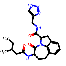 CCC(C)CC(=O)NC1CCc2cccc3c2N(C1=O)C(C(=O)NCc1c[nH]nn1)C3